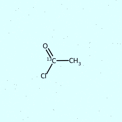 C[13C](=O)Cl